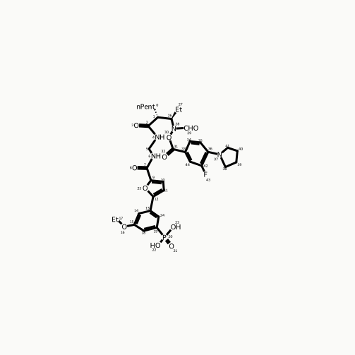 CCCCC[C@@H](C(=O)NCNC(=O)c1ccc(-c2cc(OCC)cc(P(=O)(O)O)c2)o1)[C@@H](CC)N(C=O)OC(=O)c1ccc(N2CCCC2)c(F)c1